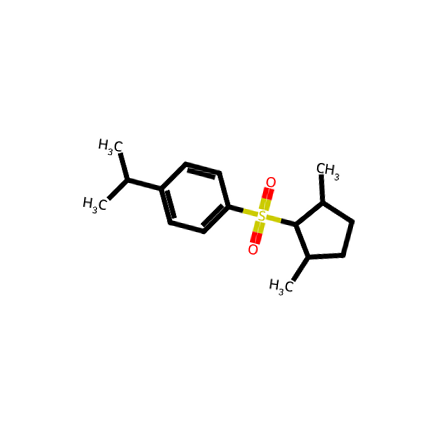 CC(C)c1ccc(S(=O)(=O)C2C(C)CCC2C)cc1